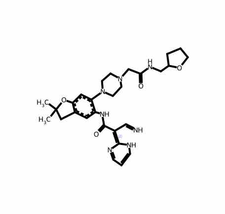 CC1(C)Cc2cc(NC(=O)/C(C=N)=C3\N=CC=CN3)c(N3CCN(CC(=O)NCC4CCCO4)CC3)cc2O1